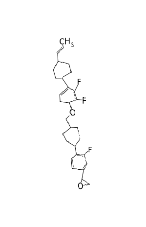 C/C=C/C1CCC(C2=CCC(OCC3CCC(c4ccc(C5CO5)cc4F)CC3)C(F)=C2F)CC1